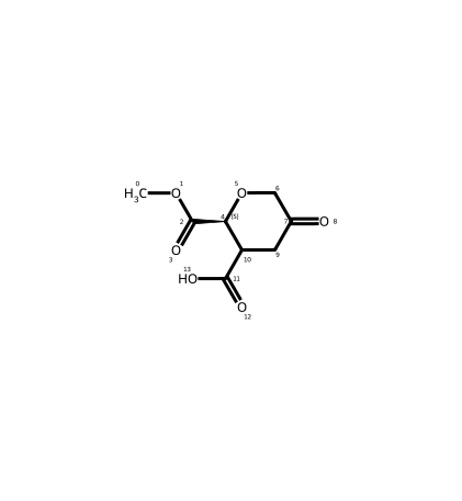 COC(=O)[C@H]1OCC(=O)CC1C(=O)O